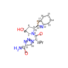 CC(C)C(C(=O)N1C[C@H](O)C[C@H]1c1nc2ccccc2s1)n1cc(C(N)=O)nn1